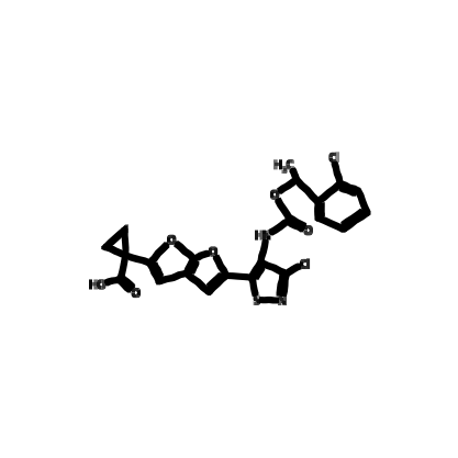 CC(OC(=O)Nc1c(Cl)nsc1-c1cc2cc(C3(C(=O)O)CC3)oc2o1)c1ccccc1Cl